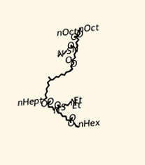 CCCCCC/C=C\COC(=O)CCCCCN(CCCC(=O)OC(CCCCCCC)CCCCCCC(C)CCCCCC/C=C\COC(=O)CCCN(CCCC(=O)OC(CCCCCCCC)CCCCCCCC)C(=O)SCCN(C)C)C(=O)SCCCN(CC)CC